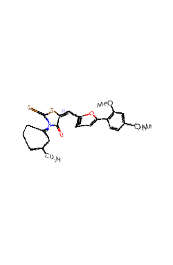 COc1ccc(-c2ccc(/C=C3/SC(=S)N(C4CCCC(C(=O)O)C4)C3=O)o2)c(OC)c1